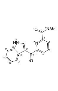 CNC(=O)c1cccc(C(=O)c2c[nH]c3ccccc23)n1